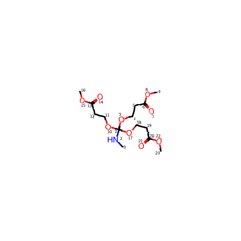 CNC(OCCC(=O)OC)(OCCC(=O)OC)OCCC(=O)OC